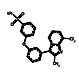 CCCS(=O)(=O)c1cccc(Oc2cccc(-c3c(C)nc4c(C(F)(F)F)cccn34)c2)c1